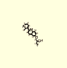 Cc1ncccc1-c1ccc2cc(OC[C@H](O)CF)ccc2n1